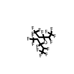 FC(C(F)(F)F)C(F)(CC(F)(F)F)OC(F)(CC(F)(F)F)C(F)C(F)(F)F